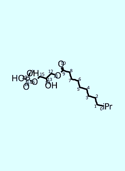 CC(C)CCCCCCCCC(=O)OCC(O)COP(=O)(O)O